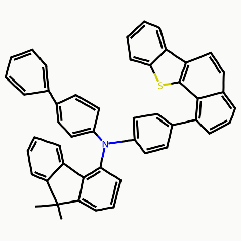 CC1(C)c2ccccc2-c2c(N(c3ccc(-c4ccccc4)cc3)c3ccc(-c4cccc5ccc6c7ccccc7sc6c45)cc3)cccc21